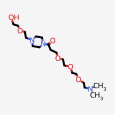 CN(C)CCOCCOCCOCCC(=O)N1CCN(CCOCCO)CC1